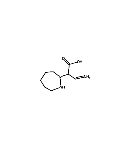 C=CC(C(=O)O)N1CCCCCN1